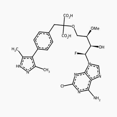 CO[C@H](COC(Cc1ccc(-c2c(C)n[nH]c2C)cc1)(C(=O)O)C(=O)O)[C@@H](O)[C@H](F)n1cnc2c(N)nc(Cl)nc21